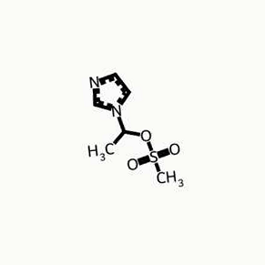 CC(OS(C)(=O)=O)n1ccnc1